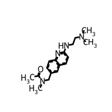 CC(=O)N(C)Cc1ccc2nc(NCCN(C)C)ccc2c1